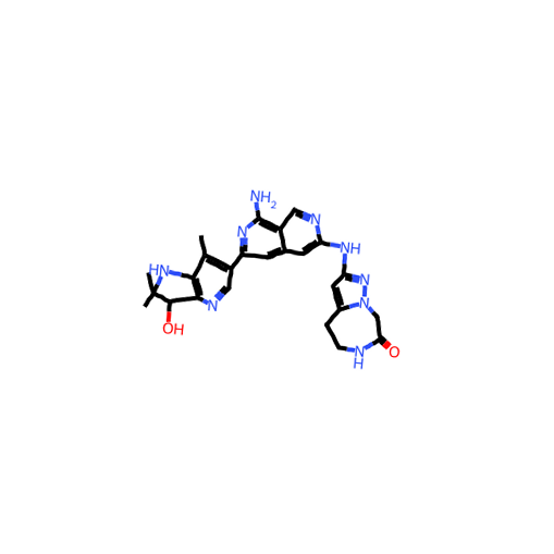 Cc1c(-c2cc3cc(Nc4cc5n(n4)CC(=O)NCC5)ncc3c(N)n2)cnc2c1NC(C)(C)C2O